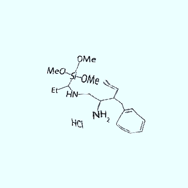 C=CC(c1ccccc1)C(N)CNC(CC)[Si](OC)(OC)OC.Cl